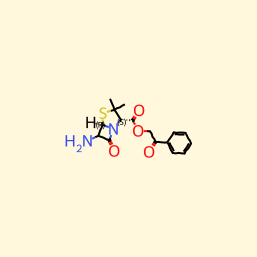 CC1(C)S[C@@H]2C(N)C(=O)N2[C@H]1C(=O)OCC(=O)c1ccccc1